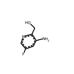 Nc1cc(F)cnc1CO